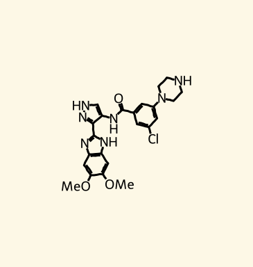 COc1cc2nc(-c3n[nH]cc3NC(=O)c3cc(Cl)cc(N4CCNCC4)c3)[nH]c2cc1OC